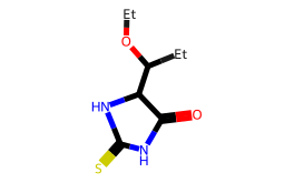 CCOC(CC)C1NC(=S)NC1=O